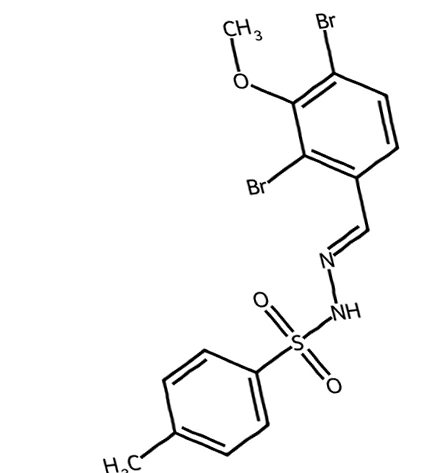 COc1c(Br)ccc(C=NNS(=O)(=O)c2ccc(C)cc2)c1Br